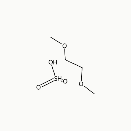 COCCOC.O=[SH](=O)O